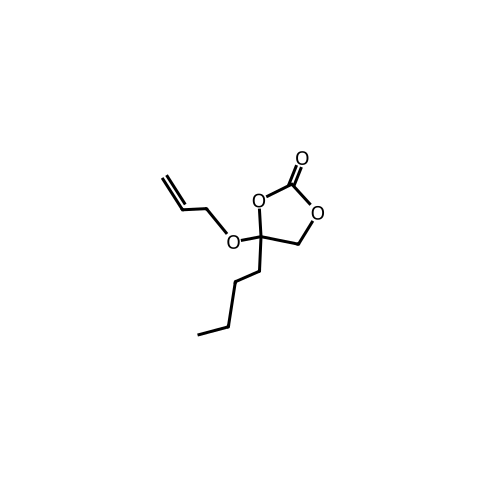 C=CCOC1(CCCC)COC(=O)O1